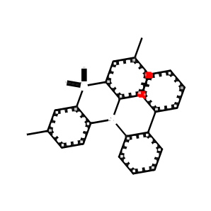 Cc1ccc2c(c1)S(=O)(=O)c1cc(C)ccc1N2c1ccccc1-c1ccccc1